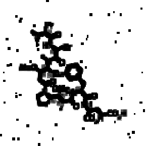 CC[C@H](C)[C@@H]([C@@H](CC(=O)N1CCC[C@H]1[C@H](OC)[C@@H](C)C(=O)N[C@@H](Cc1ccccc1)C(=O)NC(CCC(=O)O)C(=O)O)OC)N(C)C(=O)[C@@H](NC(=O)[C@H](C(C)C)N(C)I)C(C)C